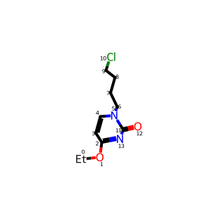 CCOc1ccn(CCCCCl)c(=O)n1